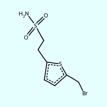 NS(=O)(=O)CCc1ccc(CBr)s1